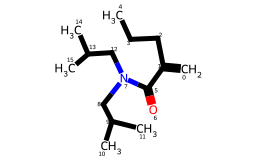 C=C(CCC)C(=O)N(CC(C)C)CC(C)C